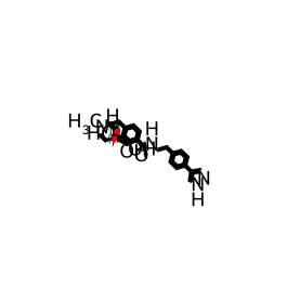 CN1CC[C@]23CC(O)CC[C@@]2(O)[C@H]1Cc1ccc(C(=O)NCCc2ccc(-c4cn[nH]c4)cc2)c(O)c13